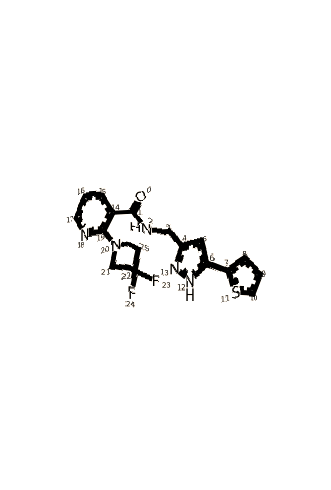 O=C(NCc1cc(-c2cccs2)[nH]n1)c1cccnc1N1CC(F)(F)C1